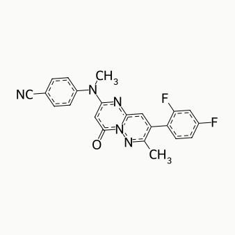 Cc1nn2c(=O)cc(N(C)c3ccc(C#N)cc3)nc2cc1-c1ccc(F)cc1F